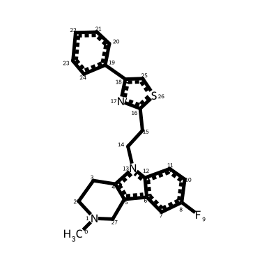 CN1CCc2c(c3cc(F)ccc3n2CCc2nc(-c3ccccc3)cs2)C1